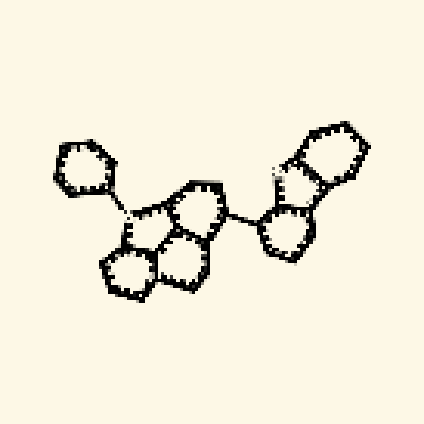 c1ccc(-n2c3cccc4ccc5c(-c6cccc7c6oc6ccccc67)ccc2c5c43)cc1